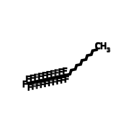 CCCCCCCCCCCCC(F)(F)C(F)(F)C(F)(F)C(F)(F)C(F)(F)C(F)(F)C(F)(F)C(F)(F)C(F)(F)C(F)(F)F